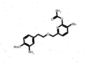 COc1ccc(CCOCc2ccc(C(C)(C)C)c(OC(N)=O)n2)cc1N